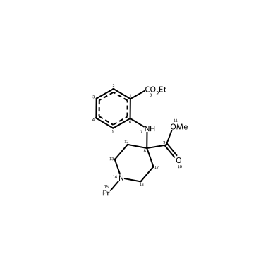 CCOC(=O)c1ccccc1NC1(C(=O)OC)CCN(C(C)C)CC1